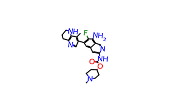 Cc1c(-c2cc3cc(NC(=O)OC4CCN(C)CC4)ncc3c(N)c2F)cnc2c1NCCC2